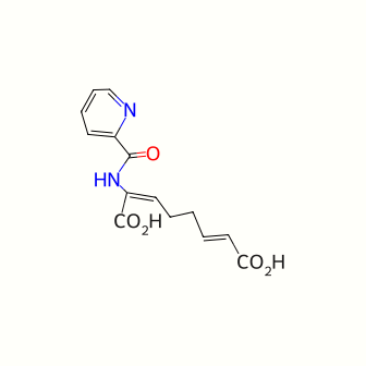 O=C(O)C=CCCC=C(NC(=O)c1ccccn1)C(=O)O